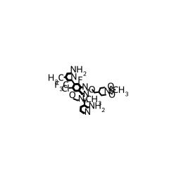 Cc1cc(N)nc(-c2c(Cl)c3c4c(nc(OCC5CCN(S(C)(=O)=O)CC5)nc4c2F)N([C@H](C)c2cccnc2N)CCO3)c1C(F)(F)F